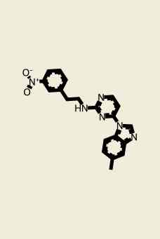 Cc1ccc2c(c1)ncn2-c1ccnc(NCCc2cccc([N+](=O)[O-])c2)n1